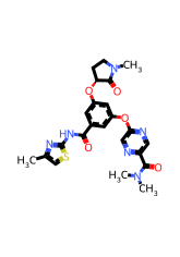 Cc1csc(NC(=O)c2cc(Oc3cnc(C(=O)N(C)C)cn3)cc(O[C@H]3CCN(C)C3=O)c2)n1